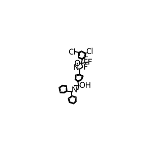 OC1(c2ccc(C3=NOC(c4cc(Cl)cc(Cl)c4)(C(F)(F)F)C3)cc2)CN(C(c2ccccc2)c2ccccc2)C1